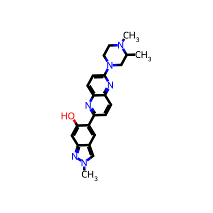 CC1CN(c2ccc3nc(-c4cc5cn(C)nc5cc4O)ccc3n2)CCN1C